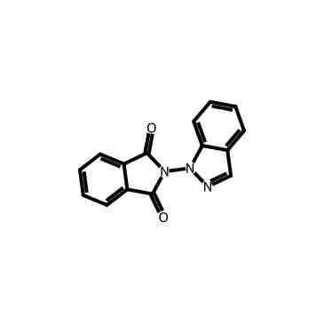 O=C1c2ccccc2C(=O)N1n1ncc2ccccc21